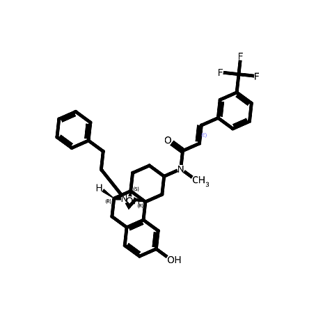 CN(C(=O)/C=C/c1cccc(C(F)(F)F)c1)C1CC[C@@]2(O)[C@H]3Cc4ccc(O)cc4[C@@]2(CCN3CCc2ccccc2)C1